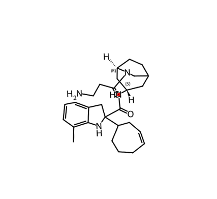 Cc1cccc2c1NC(C(=O)N[C@H]1CC3CC[C@H](C1)N(C(=O)CCN)C3)(C1CC=CCCC1)C2